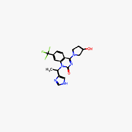 CC(c1c[nH]cn1)n1c(=O)nc(N2CCC(O)C2)c2ccc(C(F)(F)F)cc21